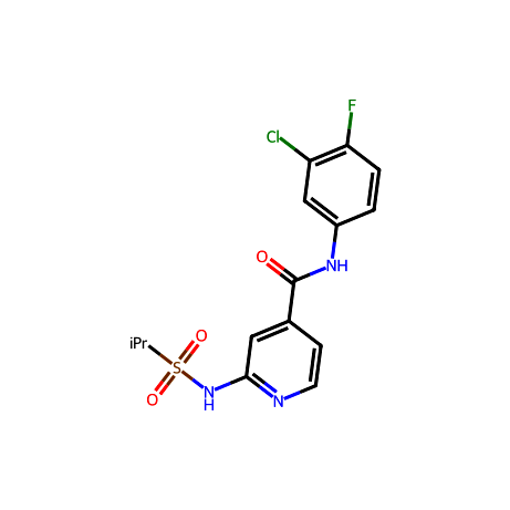 CC(C)S(=O)(=O)Nc1cc(C(=O)Nc2ccc(F)c(Cl)c2)ccn1